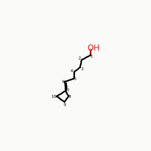 OCCCCCC=C1CCC1